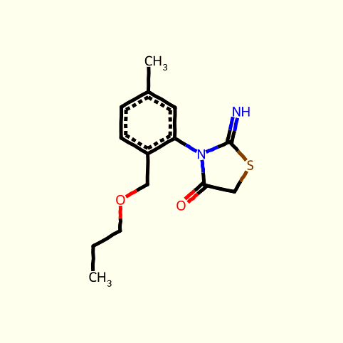 CCCOCc1ccc(C)cc1N1C(=N)SCC1=O